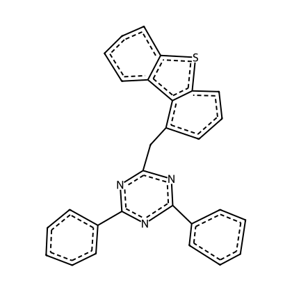 c1ccc(-c2nc(Cc3cccc4sc5ccccc5c34)nc(-c3ccccc3)n2)cc1